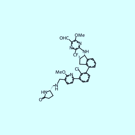 COc1nc(-c2cccc(-c3cccc4c3CC[C@@H]4Nc3nc(OC)c(C=O)nc3C(F)(F)F)c2Cl)ccc1CNC[C@@H]1CCC(=O)N1